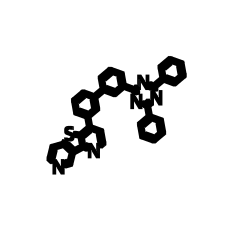 c1ccc(-c2nc(-c3ccccc3)nc(-c3cccc(-c4cccc(-c5ccnc6c5sc5ccncc56)c4)c3)n2)cc1